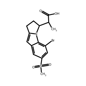 CC(C(=O)O)C1CCc2cc3cc(S(C)(=O)=O)cc(Br)c3n21